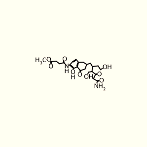 COC(=O)CCC(=O)Nc1ccc2c(c1O)C(=O)CC(CC(CCO)C(CO)C(=O)CC(N)=O)C2